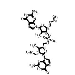 CC1[C@@H](CC=O)[C@H](n2cnc3c(=O)[nH]c(N)nc32)O[C@@H]1COP(=O)(O)O[C@H]1C(C)[C@H](n2cnc3c(=O)[nH]c(N)nc32)O[C@@H]1COPO